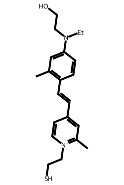 CCN(CCO)c1ccc(/C=C/c2cc[n+](CCS)c(C)c2)c(C)c1